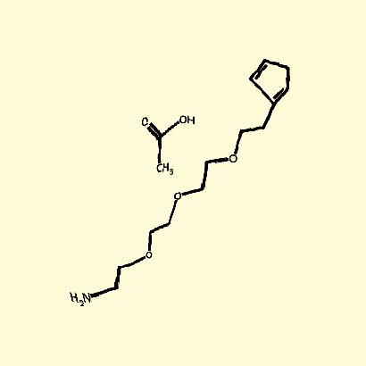 CC(=O)O.NCCOCCOCCOCCC1=CCC=C1